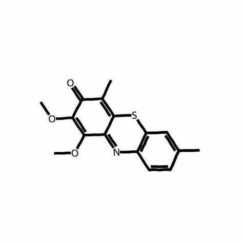 COc1c2nc3ccc(C)cc3sc-2c(C)c(=O)c1OC